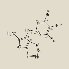 Nc1oc2cnccc2c1Nc1cc(F)c(F)c(Br)c1